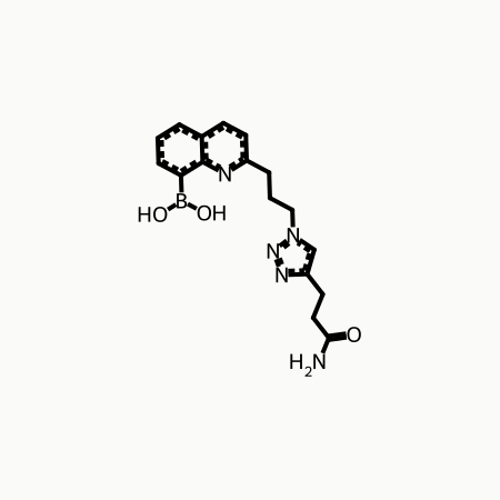 NC(=O)CCc1cn(CCCc2ccc3cccc(B(O)O)c3n2)nn1